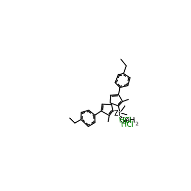 CCc1ccc(C2=CC[C]([Zr]([CH3])([CH3])(=[GeH2])[C]3=C(C)C(c4ccc(CC)cc4)=CC3)=C2C)cc1.Cl.Cl